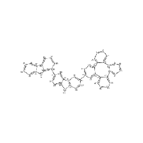 c1ccc2c(c1)-c1ccccc1-c1ccc(-c3ccc4oc5ccc(-c6cccc7c6sc6ccccc67)cc5c4c3)cc1-c1ccccc1-2